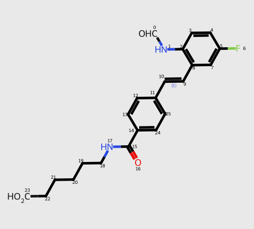 O=CNc1ccc(F)cc1/C=C/c1ccc(C(=O)NCCCCCC(=O)O)cc1